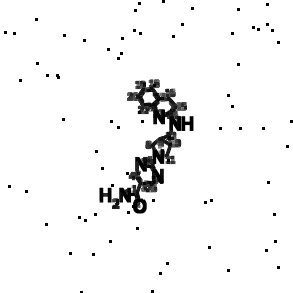 NC(=O)c1cnc(N2CC3C(C2)C3Nc2ccc3ccccc3n2)nc1